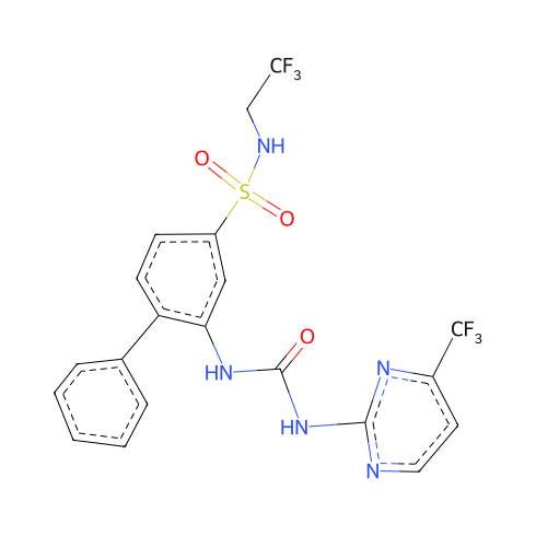 O=C(Nc1nccc(C(F)(F)F)n1)Nc1cc(S(=O)(=O)NCC(F)(F)F)ccc1-c1ccccc1